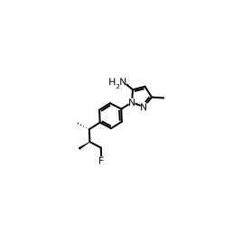 Cc1cc(N)n(-c2ccc([C@@H](C)[C@H](C)CF)cc2)n1